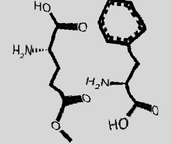 COC(=O)CC[C@H](N)C(=O)O.N[C@@H](Cc1ccccc1)C(=O)O